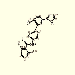 O=C(Nc1cnc(-c2cc(-c3cnco3)ccc2Cl)cn1)c1c(F)cncc1F